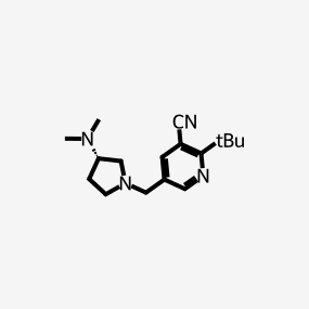 CN(C)[C@H]1CCN(Cc2cnc(C(C)(C)C)c(C#N)c2)C1